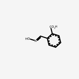 O=C(O)c1ccccc1C=NO